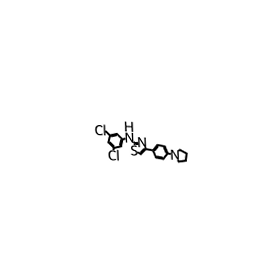 Clc1cc(Cl)cc(Nc2nc(-c3ccc(N4CCCC4)cc3)cs2)c1